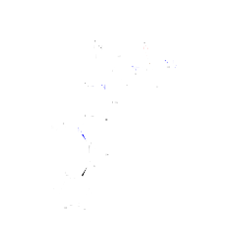 N#CCC1(N2CCC(N(C(=O)O)[C@H]3C[C@H]3c3ccccc3)CC2)CN(S(N)(=O)=O)C1